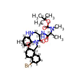 COc1ccc2c(Br)cccc2c1CN1C(=O)[C@@H](NC(=O)[C@H](C)N(C)C(=O)OC(C)(C)C)CNc2ccccc21